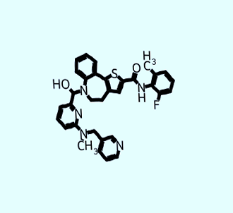 Cc1cccc(F)c1NC(=O)c1cc2c(s1)-c1ccccc1N(C(O)c1cccc(N(C)Cc3cccnc3)n1)CC2